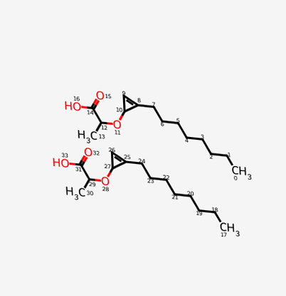 CCCCCCCCC1=CC1OC(C)C(=O)O.CCCCCCCCC1=CC1OC(C)C(=O)O